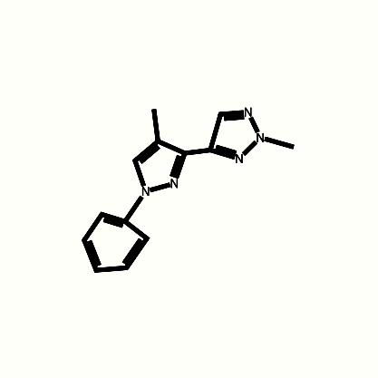 Cc1cn(-c2ccccc2)nc1-c1cnn(C)n1